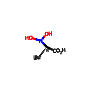 CCC(C)[C@@H](C(=O)O)N(O)O